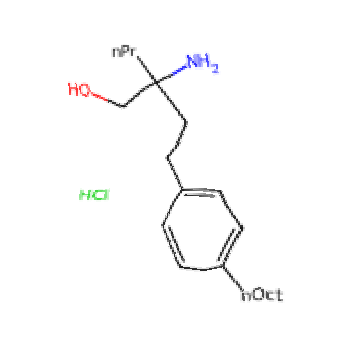 CCCCCCCCc1ccc(CCC(N)(CO)CCC)cc1.Cl